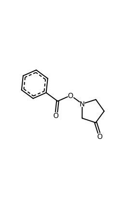 O=C1CCN(OC(=O)c2ccccc2)C1